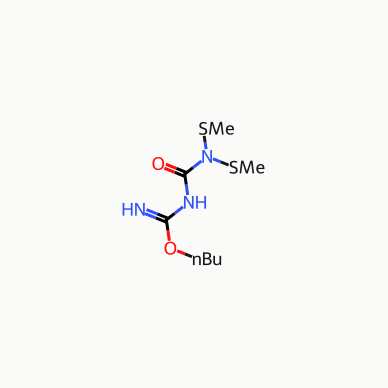 CCCCOC(=N)NC(=O)N(SC)SC